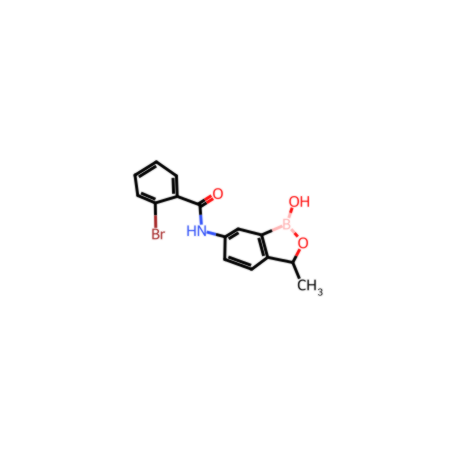 CC1OB(O)c2cc(NC(=O)c3ccccc3Br)ccc21